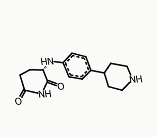 O=C1CC[C@H](Nc2ccc(C3CCNCC3)cc2)C(=O)N1